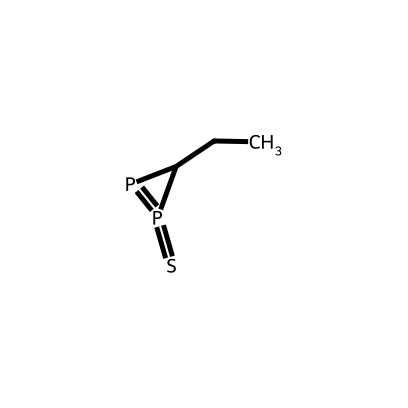 CCC1P=P1=S